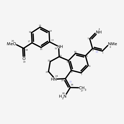 CN/C=C(\C=N)c1ccc2c(c1)C(Nc1cccc(C(=O)OC)c1)CCN/C2=C(/C)N